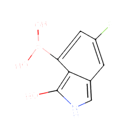 OB(O)c1cc(F)cc2c[nH]c(O)c12